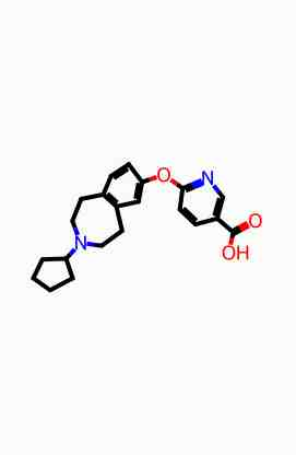 O=C(O)c1ccc(Oc2ccc3c(c2)CCN(C2CCCC2)CC3)nc1